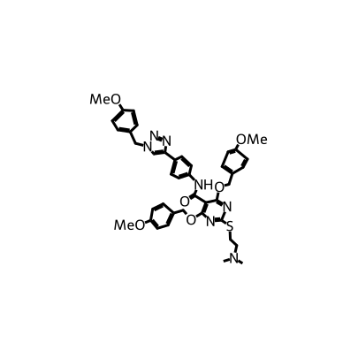 COc1ccc(COc2nc(SCCN(C)C)nc(OCc3ccc(OC)cc3)c2C(=O)Nc2ccc(-c3cn(Cc4ccc(OC)cc4)nn3)cc2)cc1